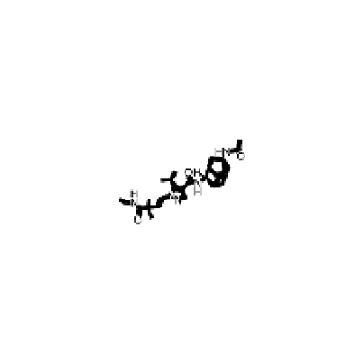 CCNC(=O)C(C)(C)/C=C/n1ncc(C(=O)N[C@H]2C3CC4CC2C[C@](NC(C)=O)(C4)C3)c1C(C)C